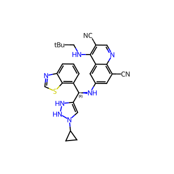 CC(C)(C)CNc1c(C#N)cnc2c(C#N)cc(N[C@@H](C3=CN(C4CC4)NN3)c3cccc4ncsc34)cc12